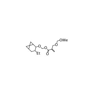 C=C(COCOC)C(=O)OCOC1C(CC)CC2CC23CC13